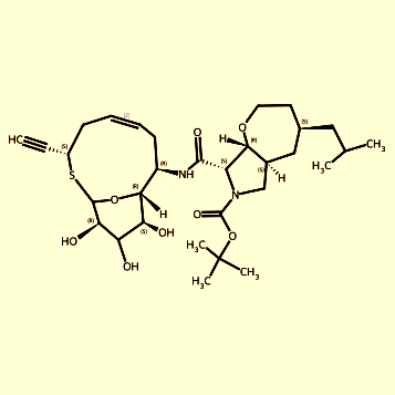 C#C[C@@H]1C/C=C\C[C@@H](NC(=O)[C@@H]2[C@@H]3OCC[C@@H](CC(C)C)C[C@H]3CN2C(=O)OC(C)(C)C)[C@H]2OC(S1)[C@H](O)C(O)[C@@H]2O